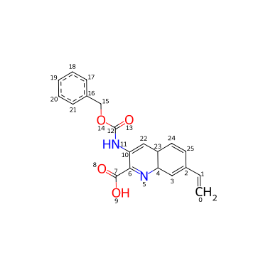 C=CC1=CC2N=C(C(=O)O)C(NC(=O)OCc3ccccc3)=CC2C=C1